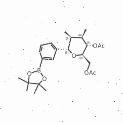 CC(=O)OC[C@H]1O[C@H](c2cccc(B3OC(C)(C)C(C)(C)O3)c2)[C@@H](C)[C@@H](C)[C@@H]1OC(C)=O